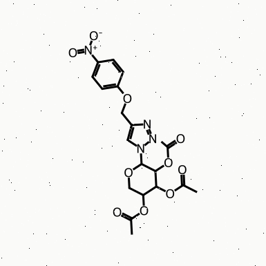 CC(=O)OC1COC(n2cc(COc3ccc([N+](=O)[O-])cc3)nn2)C(OC(C)=O)C1OC(C)=O